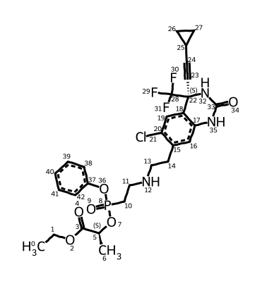 CCOC(=O)[C@H](C)OP(=O)(CCNCCc1cc2c(cc1Cl)[C@@](C#CC1CC1)(C(F)(F)F)NC(=O)N2)Oc1ccccc1